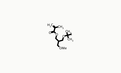 C=C(C)C(=O)OCC(COC)COC(C)(C)I